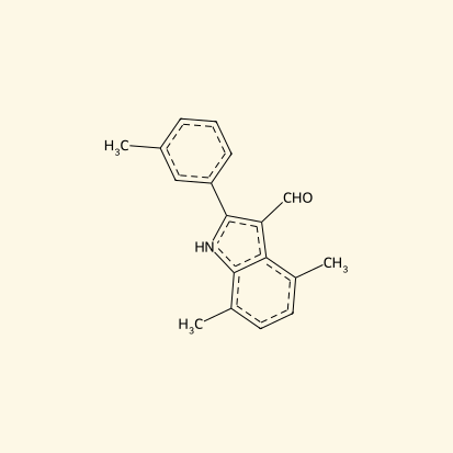 Cc1cccc(-c2[nH]c3c(C)ccc(C)c3c2C=O)c1